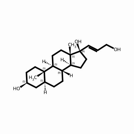 C[C@]12CC[C@H](O)C[C@@H]1CC[C@@H]1[C@@H]2CC[C@@]2(C)[C@H]1CC[C@@]2(O)C=CCO